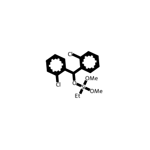 CC[Si](OC)(OC)OC(c1ccccc1Cl)c1ccccc1Cl